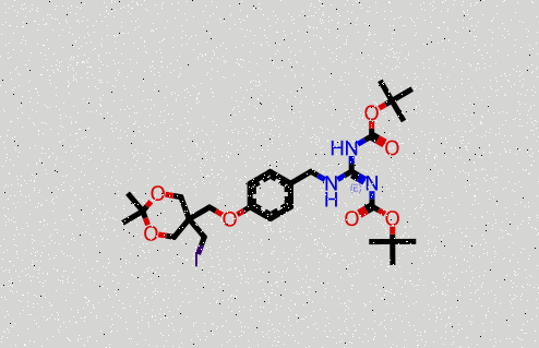 CC(C)(C)OC(=O)/N=C(\NCc1ccc(OCC2(CI)COC(C)(C)OC2)cc1)NC(=O)OC(C)(C)C